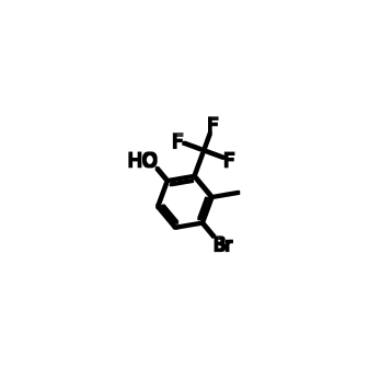 Cc1c(Br)ccc(O)c1C(F)(F)F